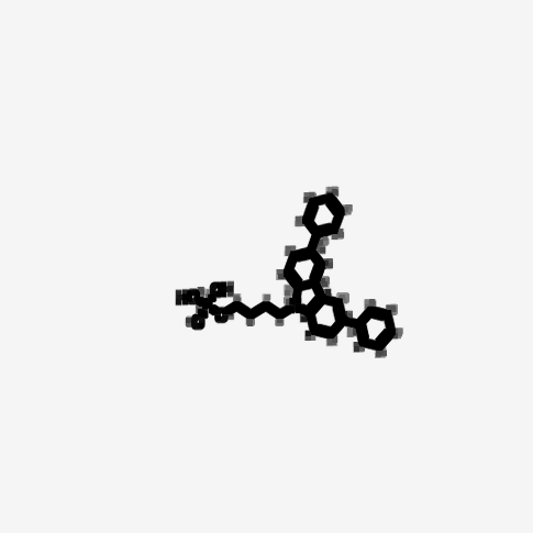 O=P(O)(O)OCCCCn1c2ccc(-c3ccccc3)cc2c2cc(-c3ccccc3)ccc21